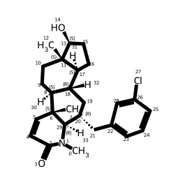 CN1C(=O)C=C[C@]2(C)[C@H]3CC[C@]4(C)[C@@H](O)CC[C@H]4[C@@H]3C[C@H](Cc3cccc(Cl)c3)[C@@H]12